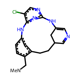 CNCc1ccc2cc1CCC1C=NC=C(C1)Nc1ncc(Cl)c(n1)N2